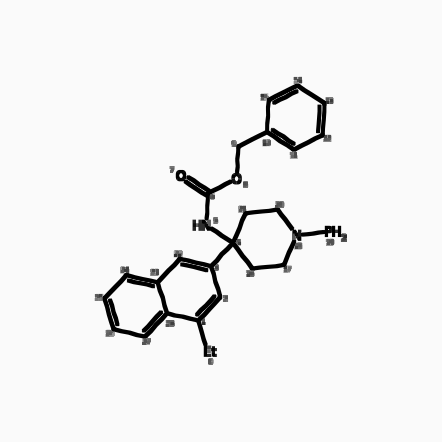 CCc1cc(C2(NC(=O)OCc3ccccc3)CCN(P)CC2)cc2ccccc12